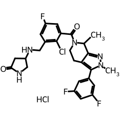 CC1c2nn(C)c(-c3cc(F)cc(F)c3)c2CCN1C(=O)c1cc(F)cc(CNC2CNC(=O)C2)c1Cl.Cl